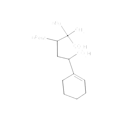 CCCCCC(CC(C(=O)O)C1=CCCCC1)C(C)(CCCC)C(=O)O